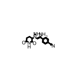 N#Cc1ccc(/C(N)=C/N(N)C2CCC(=O)NC2=O)cc1